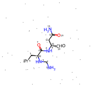 CC(C)C[C@H](NCN)C(=O)N[C@H](C=O)CC(N)=O